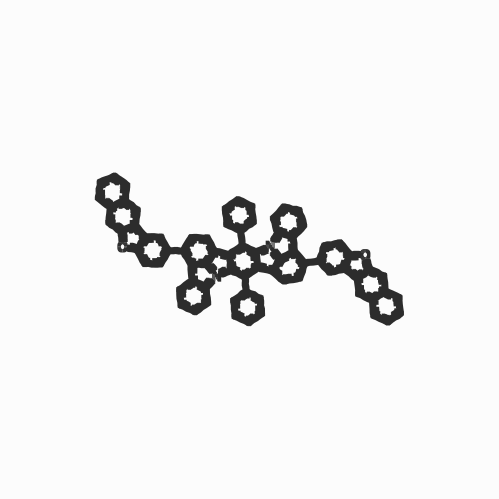 c1ccc(-c2c3c4ccc(-c5ccc6oc7cc8ccccc8cc7c6c5)c5c6ccccc6n(c3c(-c3ccccc3)c3c6ccc(-c7ccc8oc9cc%10ccccc%10cc9c8c7)c7c8ccccc8n(c23)c67)c45)cc1